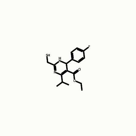 CCOC(=O)C1=C(C(C)C)N=C(CS)NC1c1ccc(F)cc1